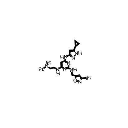 CCN(CC)CCNc1cc(Nc2cc(C3CC3)[nH]n2)nc(NCc2cc(C(C)C)no2)n1